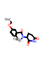 CN(C(=O)c1cc(OCC=O)ccc1C=O)C1CCC(=O)NC1=O